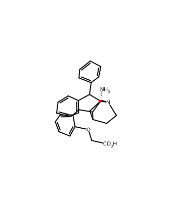 N[C@@]1(C(c2ccccc2)c2ccccc2)C(Cc2ccccc2OCC(=O)O)C2CCN1CC2